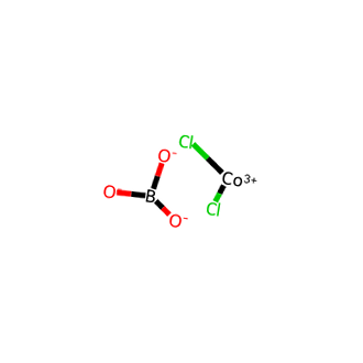 [Cl][Co+3][Cl].[O-]B([O-])[O-]